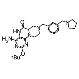 CCCCOc1nc(N)c2c(n1)N1CCN(Cc3cccc(CN4CCCC4)c3)CC1C(=O)N2